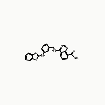 NC(=O)c1cccc2c(NCc3cccc(Nc4nc5ccccc5s4)c3)ncnc12